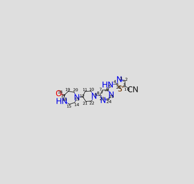 N#Cc1cnc(Nc2cc(N3CCC(N4CCNC(=O)CC4)CC3)ncn2)s1